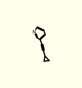 C(#CC1CC1)c1cc[c]nc1